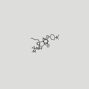 CCCCCc1nc(OC2CCC(N(C)C)CC2)cc(=O)n1CC(=O)NC1(N(C)C)CC1